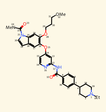 CCN1CCC(c2ccc(C(=O)Nc3cc(Oc4cc5ccn(C(=O)NC)c5cc4OCCCOC)ccn3)cc2)CC1